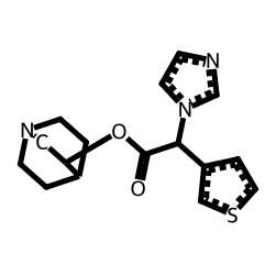 O=C(OC1CN2CCC1CC2)C(c1ccsc1)n1ccnc1